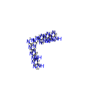 c1cncnc1.c1cncnc1.c1cncnc1.c1ncc2[nH]cnc2n1.c1ncc2[nH]cnc2n1.c1ncc2[nH]cnc2n1.c1ncc2[nH]cnc2n1.c1ncc2[nH]cnc2n1